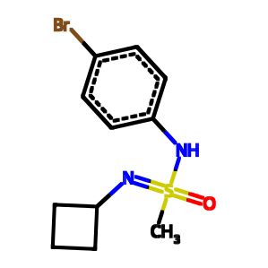 CS(=O)(=NC1CCC1)Nc1ccc(Br)cc1